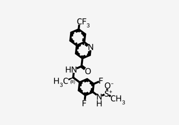 C[C@@H](NC(=O)c1cnc2cc(C(F)(F)F)ccc2c1)c1cc(F)c(N[S+](C)[O-])c(F)c1